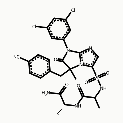 CC(NS(=O)(=O)c1cnc2n1C(C)(Cc1ccc(C#N)cc1)C(=O)N2c1cc(Cl)cc(Cl)c1)C(=O)N[C@H](C)C(N)=O